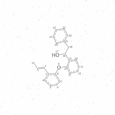 CC=Cc1ccccc1Oc1ccccc1C(O)Cc1ccccc1